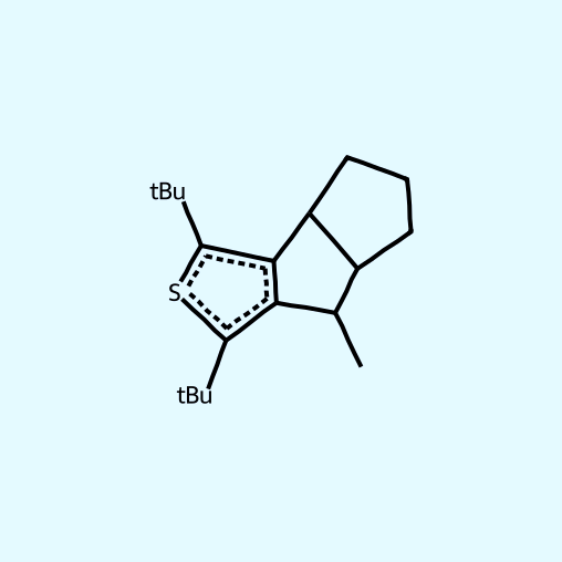 CC1c2c(C(C)(C)C)sc(C(C)(C)C)c2C2CCCC12